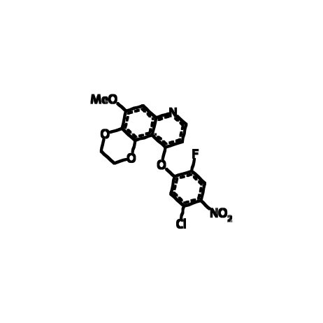 COc1cc2nccc(Oc3cc(Cl)c([N+](=O)[O-])cc3F)c2c2c1OCCO2